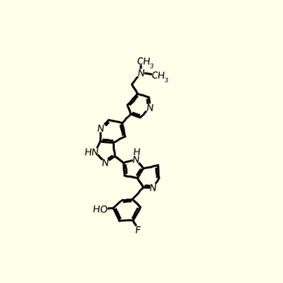 CN(C)Cc1cncc(-c2cnc3[nH]nc(-c4cc5c(-c6cc(O)cc(F)c6)nccc5[nH]4)c3c2)c1